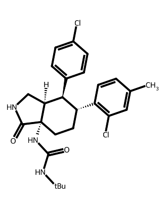 Cc1ccc([C@@H]2CC[C@@]3(NC(=O)NC(C)(C)C)C(=O)NC[C@H]3[C@H]2c2ccc(Cl)cc2)c(Cl)c1